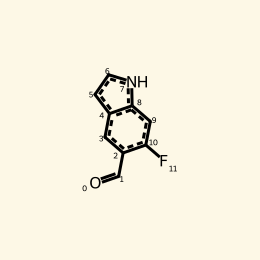 O=Cc1cc2cc[nH]c2cc1F